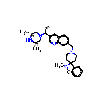 CCCC(c1cnc2cc(CN3CCC(c4ccccc4)(N(C)C)CC3)ccc2c1)N1C[C@@H](C)N[C@@H](C)C1